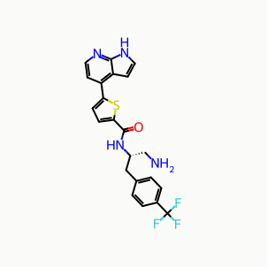 NC[C@H](Cc1ccc(C(F)(F)F)cc1)NC(=O)c1ccc(-c2ccnc3[nH]ccc23)s1